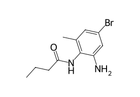 CCCC(=O)Nc1c(C)cc(Br)cc1N